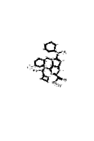 C[C@@H](Nc1nc(C(=N)NC(=O)O)nc2nc(N(C)C3CCCCC3)n(C[C@H]3CC[C@H](C)CC3)c12)C1CCC1